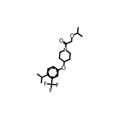 CC(C)OCC(=O)N1CCC(Oc2ccc(C(C)C)c(C(F)(F)F)c2)CC1